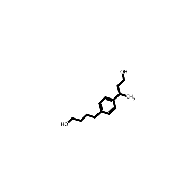 CC(CCO)c1ccc(CCCCO)cc1